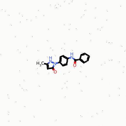 Cc1cc(=O)n(-c2ccc(NC(=O)c3ccccc3)cc2)[nH]1